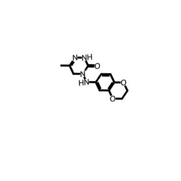 CC1=NNC(=O)N(Nc2ccc3c(c2)OCCO3)C1